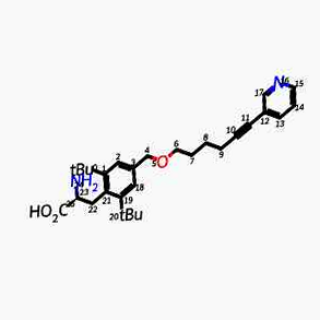 CC(C)(C)c1cc(COCCCCC#Cc2cccnc2)cc(C(C)(C)C)c1C[C@H](N)C(=O)O